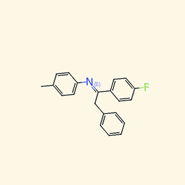 Cc1ccc(/N=C(\Cc2ccccc2)c2ccc(F)cc2)cc1